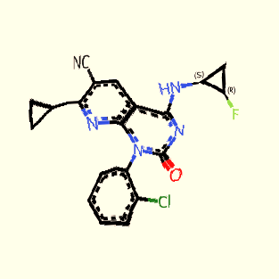 N#Cc1cc2c(N[C@H]3C[C@H]3F)nc(=O)n(-c3ccccc3Cl)c2nc1C1CC1